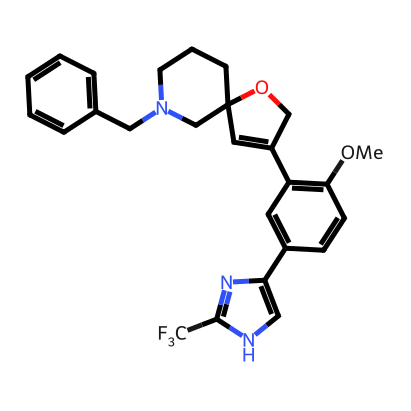 COc1ccc(-c2c[nH]c(C(F)(F)F)n2)cc1C1=CC2(CCCN(Cc3ccccc3)C2)OC1